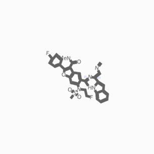 C=N/C=C(\N=C(/C)c1cc2c(C(=O)NC)c(-c3ccc(F)cc3)oc2cc1N(CCF)S(C)(=O)=O)c1cc2ccccc2[nH]1